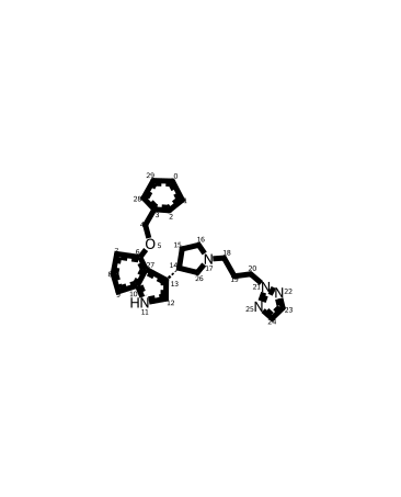 c1ccc(COc2cccc3[nH]cc([C@@H]4CCN(CCCn5nccn5)C4)c23)cc1